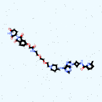 Cc1cccc(C(=O)NC2CC(n3cnc4c(NCC5CCN(CCOCCOCCNC(=O)COc6ccc7c(c6)C(=O)N([C@@H]6CCC(=O)NC6=O)C7=O)CC5)ncnc43)C2)n1